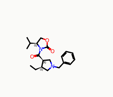 CC[C@@H]1CN(Cc2ccccc2)C[C@@H]1C(=O)N1C(=O)OC[C@@H]1C(C)C